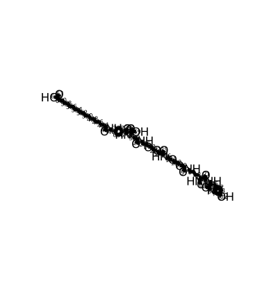 CN[C@@H](CCCCNC(=O)COCCOCCNC(=O)COCCOCCNC(=O)CC[C@H](NC(=O)[C@H]1CC[C@@H](CNC(=O)CCCCCCCCCCCCCCCCCCC(=O)O)CC1)C(=O)O)C(=O)CN[C@@H](Cc1ccc(O)cc1)C(N)=O